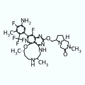 Cc1c(F)c(N)cc(-c2nc3c4c(nc(OCC5CC[C@H]6CN(C)C(=O)CN56)nc4c2F)NCC(C)NCC[C@H](C)O3)c1C(F)(F)F